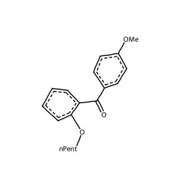 CCCCCOc1ccccc1C(=O)c1ccc(OC)cc1